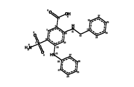 NS(=O)(=O)c1cc(C(=O)O)c(NCc2ccccc2)cc1Nc1ccccc1